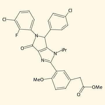 COC(=O)Cc1ccc(OC)c(-c2nc3c(n2C(C)C)C(c2ccc(Cl)cc2)N(c2cccc(Cl)c2F)C3=O)c1